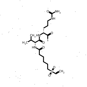 C=CS(=O)(=O)CCCCCC(=O)N[C@@H](C(=O)N[C@H](CCCNC(N)=O)C(=O)I)C(C)C